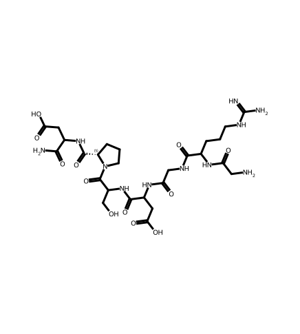 N=C(N)NCCCC(NC(=O)CN)C(=O)NCC(=O)NC(CC(=O)O)C(=O)NC(CO)C(=O)N1CCC[C@H]1C(=O)NC(CC(=O)O)C(N)=O